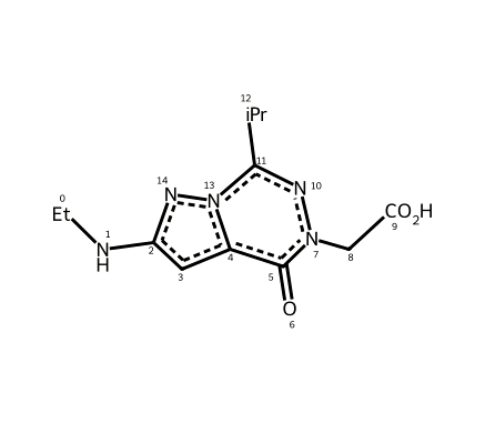 CCNc1cc2c(=O)n(CC(=O)O)nc(C(C)C)n2n1